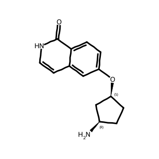 N[C@@H]1CC[C@H](Oc2ccc3c(=O)[nH]ccc3c2)C1